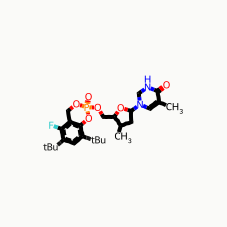 CC1=CN(C2CC(C)C(COP3(=O)OCc4c(F)c(C(C)(C)C)cc(C(C)(C)C)c4O3)O2)CNC1=O